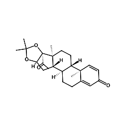 CC(=O)[C@@]12OC(C)(C)O[C@@H]1C[C@H]1[C@@H]3CCC4=CC(=O)C=C[C@]4(C)[C@H]3CC[C@@]12C